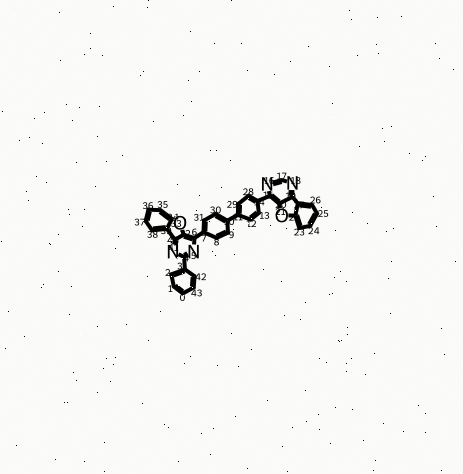 c1ccc(-c2nc(-c3ccc(-c4ccc(-c5ncnc6c5oc5ccccc56)cc4)cc3)c3oc4ccccc4c3n2)cc1